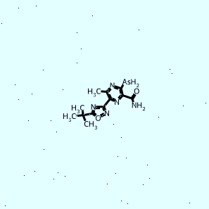 Cc1nc([AsH2])c(C(N)=O)nc1-c1noc(C(C)(C)C)n1